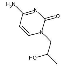 CC(O)Cn1ccc(N)nc1=O